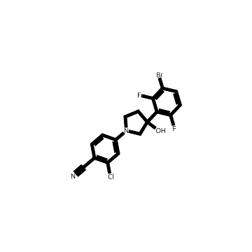 N#Cc1ccc(N2CCC(O)(c3c(F)ccc(Br)c3F)C2)cc1Cl